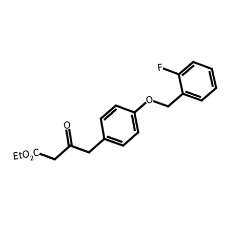 CCOC(=O)CC(=O)Cc1ccc(OCc2ccccc2F)cc1